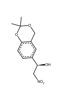 CC1(C)OCc2cc([C@@H](O)C[N+](=O)[O-])ccc2O1